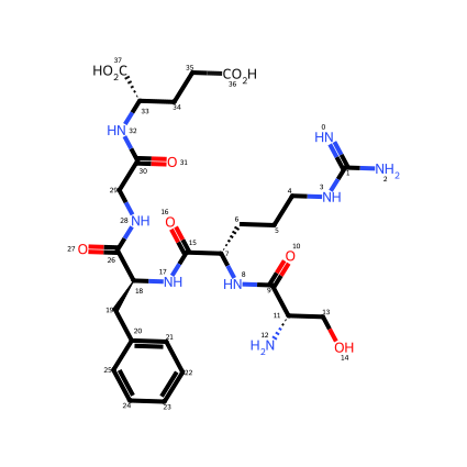 N=C(N)NCCC[C@H](NC(=O)[C@@H](N)CO)C(=O)N[C@@H](Cc1ccccc1)C(=O)NCC(=O)N[C@@H](CCC(=O)O)C(=O)O